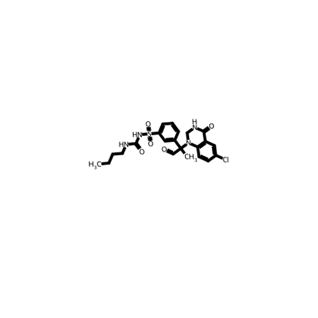 CCCCNC(=O)NS(=O)(=O)c1cccc(C(C)(C=O)N2CNC(=O)c3cc(Cl)ccc32)c1